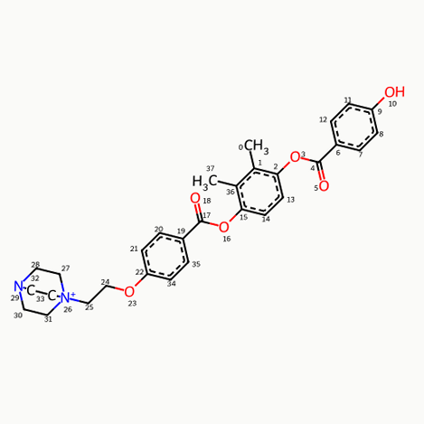 Cc1c(OC(=O)c2ccc(O)cc2)ccc(OC(=O)c2ccc(OCC[N+]34CCN(CC3)CC4)cc2)c1C